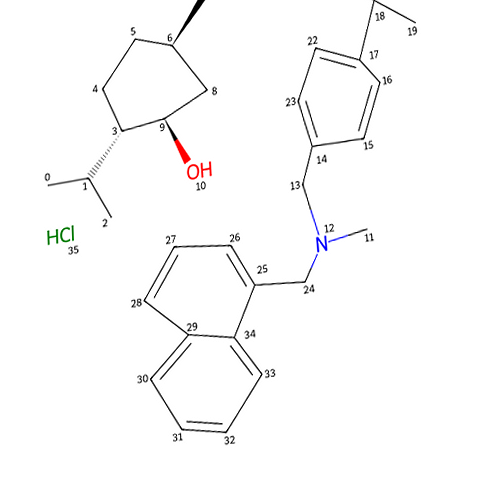 CC(C)[C@@H]1CC[C@@H](C)C[C@H]1O.CN(Cc1ccc(C(C)(C)C)cc1)Cc1cccc2ccccc12.Cl